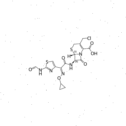 O=CNc1nc(C(=NOC2CC2)C(=O)N[C@@H]2C(=O)N3C(C(=O)O)=C(CCl)CS[C@@H]23)cs1